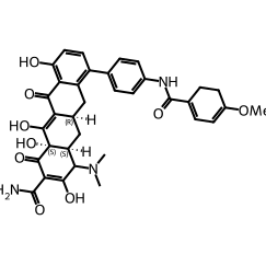 COC1=CC=C(C(=O)Nc2ccc(-c3ccc(O)c4c3C[C@H]3C[C@H]5C(N(C)C)C(O)=C(C(N)=O)C(=O)[C@@]5(O)C(O)=C3C4=O)cc2)CC1